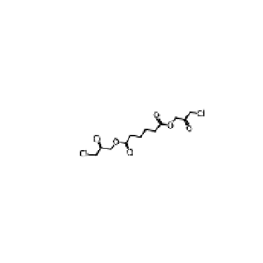 O=C(CCl)COC(=O)CCCCC(=O)OCC(=O)CCl